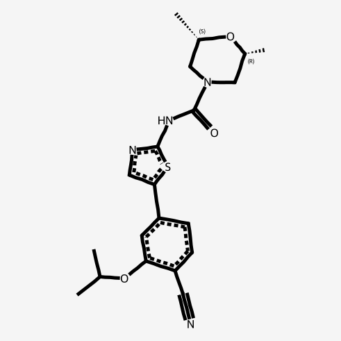 CC(C)Oc1cc(-c2cnc(NC(=O)N3C[C@@H](C)O[C@@H](C)C3)s2)ccc1C#N